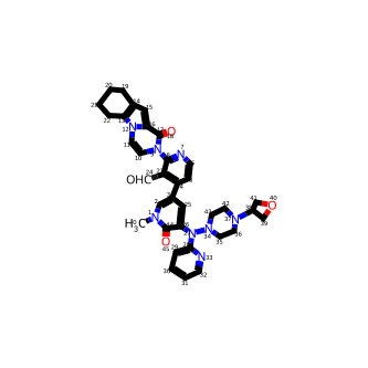 Cn1cc(-c2ccnc(-n3ccn4c5c(cc4c3=O)CCCC5)c2C=O)cc(N(c2ccccn2)N2CCN(C3COC3)CC2)c1=O